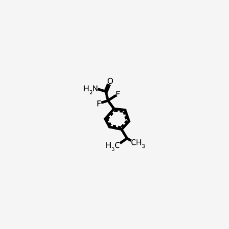 CC(C)c1ccc(C(F)(F)C(N)=O)cc1